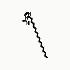 CCCCCCCCCCCCCCCCCc1nccn1C(C)N